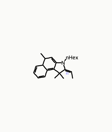 C/C=C1/N(CCCCCC)C2=CC(C)C3C=CC=CC3=C2C1(C)C